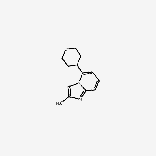 Cc1nc2cccc(C3CCOCC3)n2n1